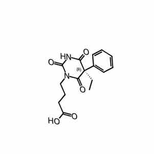 CC[C@@]1(c2ccccc2)C(=O)NC(=O)N(CCCC(=O)O)C1=O